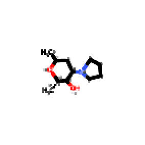 CC1CC(N2CCCC2)C(O)[C@H](C)O1